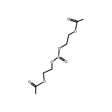 CC(=O)OCCOS(=O)OCCOC(C)=O